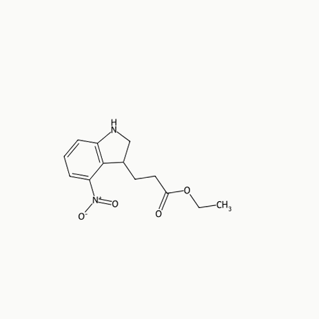 CCOC(=O)CCC1CNc2cccc([N+](=O)[O-])c21